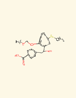 COCOc1ccc(SC)cc1C(O)c1ccc(C(=O)O)cc1